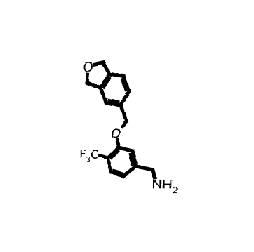 NCc1ccc(C(F)(F)F)c(OCc2ccc3c(c2)COC3)c1